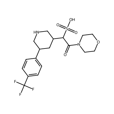 O=C(C(C1CNCC(c2ccc(C(F)(F)F)cc2)C1)S(=O)(=O)O)N1CCOCC1